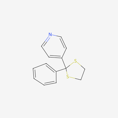 c1ccc(C2(c3ccncc3)SCCS2)cc1